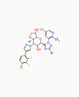 OC1CO[C@H]2C1O[C@@H](c1nc(Br)nn1-c1cc(Cl)cnc1C(F)(F)F)[C@@H](O)C2n1cc(-c2ccc(Cl)c(F)c2F)cn1